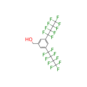 OCc1cc(C(F)(F)C(F)(F)C(F)(F)C(F)(F)F)cc(C(F)(F)C(F)(F)C(F)(F)C(F)(F)F)c1